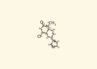 Cn1c(=O)cc(Cl)c2cc(-n3ccnc3)ccc21